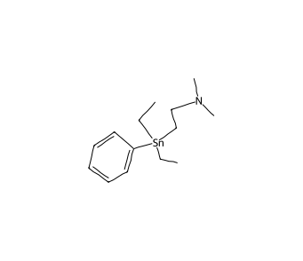 C[CH2][Sn]([CH2]C)([CH2]CN(C)C)[c]1ccccc1